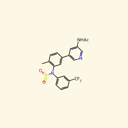 CC(=O)Nc1cncc(-c2ccc(C)c(N(c3cccc(C(F)(F)F)c3)[SH](=O)=O)c2)c1